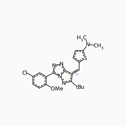 COc1ccc(Cl)cc1-c1nnc2/c(=C\c3ccc(N(C)C)s3)c(C(C)(C)C)nn12